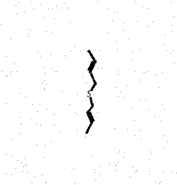 CC=CCSCC=CC